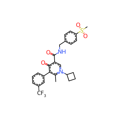 Cc1c(-c2cccc(C(F)(F)F)c2)c(=O)c(C(=O)NCc2ccc(S(C)(=O)=O)cc2)cn1C1CCC1